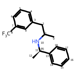 CC(Cc1cccc(C(F)(F)F)c1)N[C@H](C)c1ccccc1